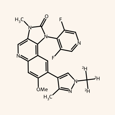 [2H]C([2H])([2H])n1cc(-c2cc3c(cc2OC)ncc2c3n(-c3c(F)cncc3F)c(=O)n2C)c(C)n1